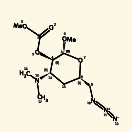 COC(=O)O[C@H]1[C@H](OC)O[C@H](CN=[N+]=[N-])C[C@@H]1N(C)C